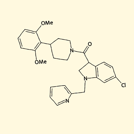 COc1cccc(OC)c1C1CCN(C(=O)C2CN(Cc3ccccn3)c3cc(Cl)ccc32)CC1